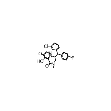 CN1CC(C(c2ccc(F)cc2)c2cccc(Cl)c2)n2ncc(=O)c(O)c2C1=O